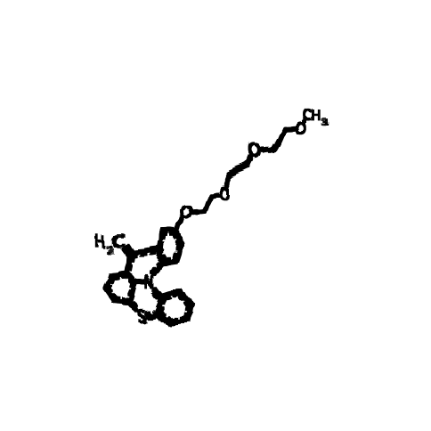 C=c1c2cccc3sc4ccccc4n(c4ccc(OCCOCCOCCOC)cc14)-c32